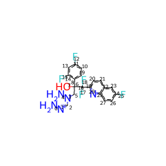 N/N=C\N(N)CC(O)(c1ccc(F)cc1F)C(F)(F)c1ccc2cc(F)ccc2n1